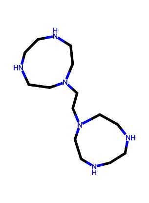 C1CNCCN(CCN2CCNCCNCC2)CCN1